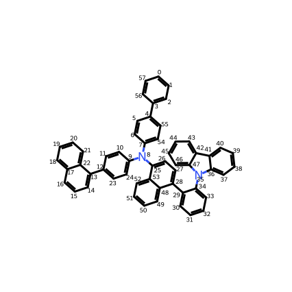 c1ccc(-c2ccc(N(c3ccc(-c4cccc5ccccc45)cc3)c3ccc(-c4ccccc4-n4c5ccccc5c5ccccc54)c4ccccc34)cc2)cc1